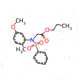 CCCOC(=O)CN(c1cc(OC)ccc1C)S(=O)(=O)c1ccccc1